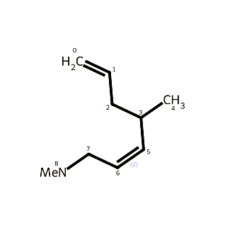 C=CCC(C)/C=C\CNC